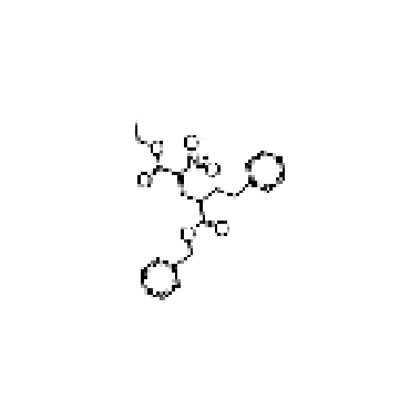 CCOC(=O)C(=CC(CCc1ccccc1)C(=O)OCc1ccccc1)[N+](=O)[O-]